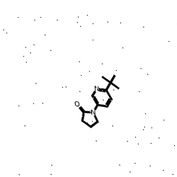 CC(C)(C)c1ccc(N2CCCC2=O)cn1